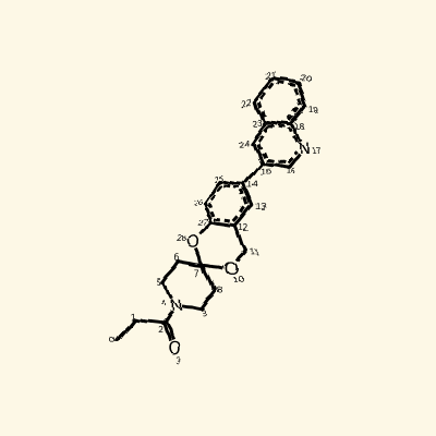 CCC(=O)N1CCC2(CC1)OCc1cc(-c3cnc4ccccc4c3)ccc1O2